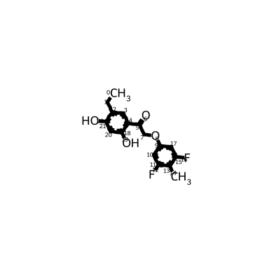 CCc1cc(C(=O)COc2cc(F)c(C)c(F)c2)c(O)cc1O